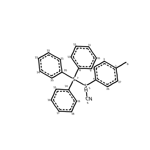 Cc1ccc([SH](C#N)S(c2ccccc2)(c2ccccc2)c2ccccc2)cc1